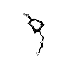 C=COCc1ccc(NC)cc1